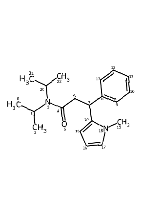 CC(C)N(C(=O)CC(c1ccccc1)c1cccn1C)C(C)C